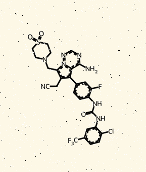 N#CCc1c(-c2ccc(NC(=O)Nc3cc(C(F)(F)F)ccc3Cl)c(F)c2)c2c(N)ncnn2c1CN1CCS(=O)(=O)CC1